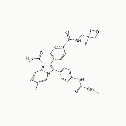 CC#CC(=O)Nc1ccc(-c2c(-c3ccc(C(=O)NCC4(F)COC4)cc3)c(C(N)=O)c3cnc(C)cn23)cc1